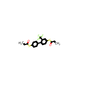 C=CC(=O)Sc1ccc(-c2ccc(SC(=O)C=C)cc2C(F)(F)F)cc1